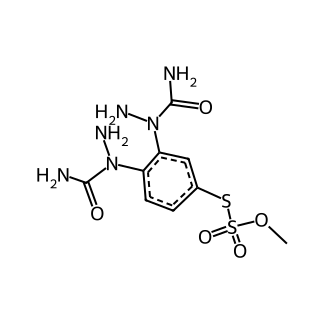 COS(=O)(=O)Sc1ccc(N(N)C(N)=O)c(N(N)C(N)=O)c1